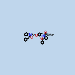 COC(=O)[C@H](Cc1ccc(OCCCN(Cc2ccccc2)C(=O)/C=C/c2ccccc2)cc1)Nc1ccccc1C(=O)c1ccccc1